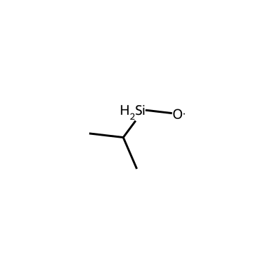 CC(C)[SiH2][O]